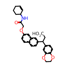 O=C(O)CC(c1ccc2c(c1)OCCO2)c1ccc2ccc(OCC(=O)NC3C=CCCC3)cc2c1